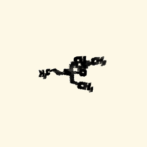 CC=C[Si](CC)(CC)O[SiH2]C